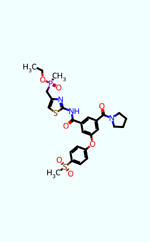 CCOP(C)(=O)Cc1csc(NC(=O)c2cc(Oc3ccc(S(C)(=O)=O)cc3)cc(C(=O)N3CCCC3)c2)n1